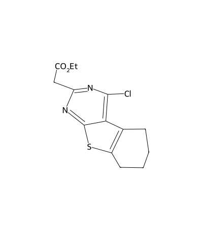 CCOC(=O)Cc1nc(Cl)c2c3c(sc2n1)CCCC3